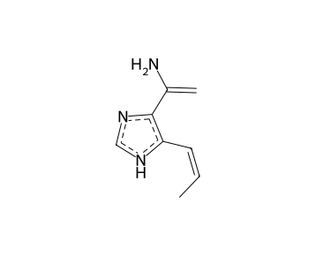 C=C(N)c1nc[nH]c1/C=C\C